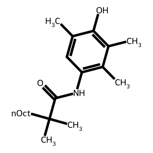 CCCCCCCCC(C)(C)C(=O)Nc1cc(C)c(O)c(C)c1C